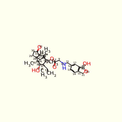 C=C[C@]1(C)C[C@@H](OC(=O)CNCc2ccc3c(c2)B(O)OC3)[C@]2(C)[C@H](C)CC[C@]3(CCC(=O)[C@H]32)[C@@H](C)[C@@H]1O